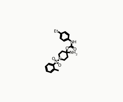 CCc1ccc(NC(=O)OC2(N)CCN(S(=O)(=O)c3ccccc3C)CC2)cc1